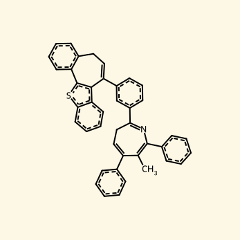 CC1=C(c2ccccc2)N=C(c2cccc(C3=CCc4ccccc4-c4sc5ccccc5c43)c2)CC=C1c1ccccc1